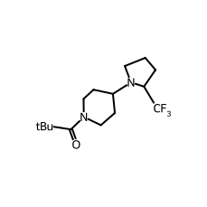 CC(C)(C)C(=O)N1CCC(N2CCCC2C(F)(F)F)CC1